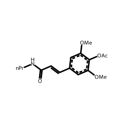 CCCNC(=O)/C=C/c1cc(OC)c(OC(C)=O)c(OC)c1